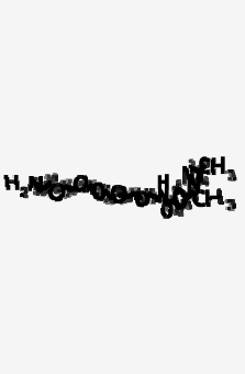 Cc1cnn(C(C)c2ccc(C(=O)NCCOCCOCCOCCOCCOCCN)cc2)c1